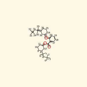 CC(C)(C)CC(C)(C)C1CCCC(OC(=O)c2ccccc2OC2CCCC(C(C)(C)CC(C)(C)C)C2)C1